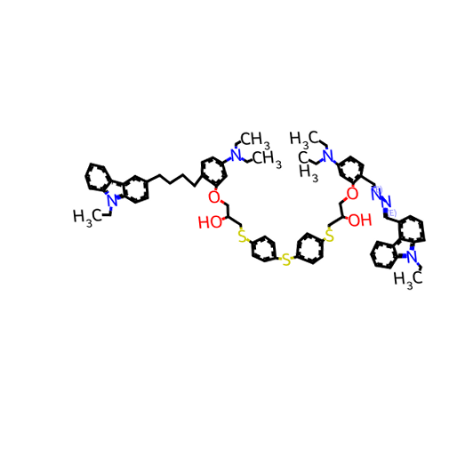 CCN(CC)c1ccc(/C=N/N=C/c2cccc3c2c2ccccc2n3CC)c(OCC(O)CSc2ccc(Sc3ccc(SCC(O)COc4cc(N(CC)CC)ccc4CCCCc4ccc5c(c4)c4ccccc4n5CC)cc3)cc2)c1